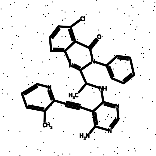 Cc1cccnc1C#Cc1c(N)ncnc1NC(C)c1nc2cccc(Cl)c2c(=O)n1-c1ccccc1